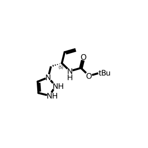 C=C[C@@H](CN1C=CNN1)NC(=O)OC(C)(C)C